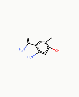 C=C(N)c1cc(C)c(O)cc1N